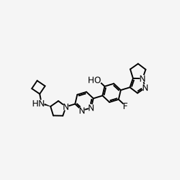 Oc1cc(-c2cnn3c2CCC3)c(F)cc1-c1ccc(N2CC[C@@H](NC3CCC3)C2)nn1